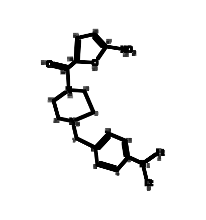 CCN(CC)c1ccc(CN2CCN(C(=O)c3ccc([N+](=O)[O-])o3)CC2)cc1